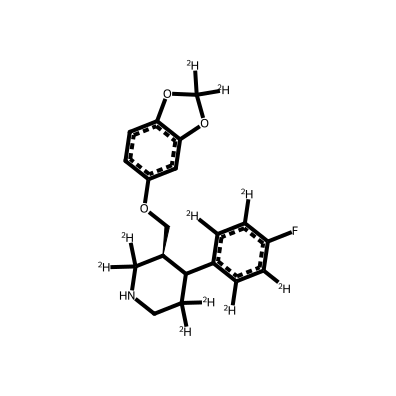 [2H]c1c([2H])c(C2[C@H](COc3ccc4c(c3)OC([2H])([2H])O4)C([2H])([2H])NCC2([2H])[2H])c([2H])c([2H])c1F